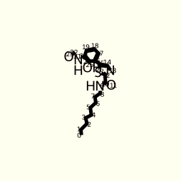 CCCCCCCCCNC(=O)c1ncc(-c2cccc(NC=O)c2O)s1